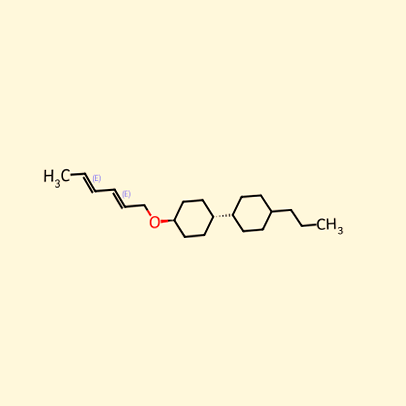 C/C=C/C=C/CO[C@H]1CC[C@H](C2CCC(CCC)CC2)CC1